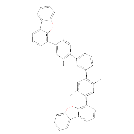 Cc1cc(-c2cccc3c2oc2ccccc23)c(C)cc1-c1cccc(-c2cc(C)c(-c3cccc4c3oc3ccccc34)cc2C)c1